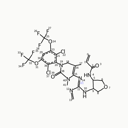 C=CC(=O)NC1COCC1N/C(N=C)=N/C1=C(C)CN(c2c(Cl)c(OC(F)(F)F)cc(OC(F)(F)F)c2Cl)C(=O)N1C